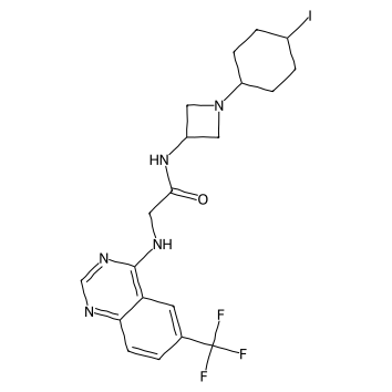 O=C(CNc1ncnc2ccc(C(F)(F)F)cc12)NC1CN(C2CCC(I)CC2)C1